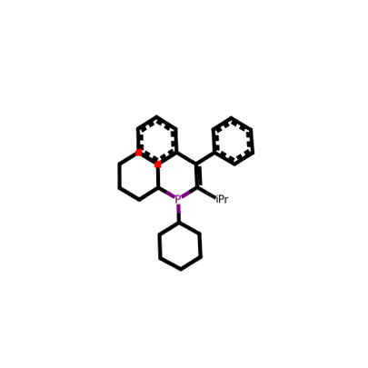 CC(C)C(=C(c1ccccc1)c1ccccc1)P(C1CCCCC1)C1CCCCC1